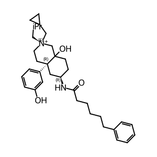 CC(C)C[N@+]1(CC2CC2)CC[C@]2(c3cccc(O)c3)C[C@H](NC(=O)CCCCCc3ccccc3)CCC2(O)C1